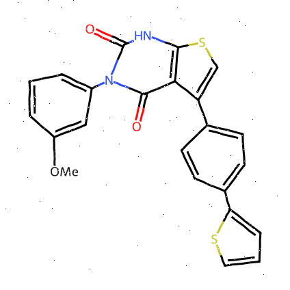 COc1cccc(-n2c(=O)[nH]c3scc(-c4ccc(-c5cccs5)cc4)c3c2=O)c1